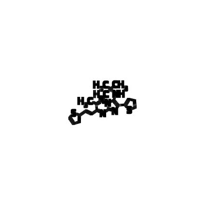 Cc1nn2c(NC(C)(C)C)c(-c3cccs3)nc2nc1/C=C/c1cccs1